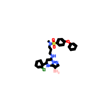 Bc1cnn2c(NCCCN(C)S(=O)(=O)c3ccc(Oc4ccccc4)cc3)cc(-c3ccccc3Cl)nc12